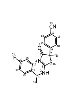 C[C@H](NC1=NC(=O)C(C)(c2ccc(C#N)cc2)S1)c1ccc(F)cc1